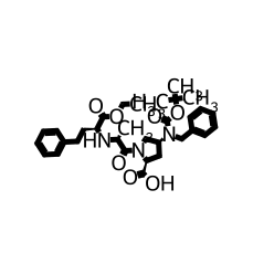 CCOC(=O)[C@H](CCc1ccccc1)N[C@@H](C)C(=O)N1C[C@@H](N(Cc2ccccc2)C(=O)OC(C)(C)C)C[C@H]1C(=O)O